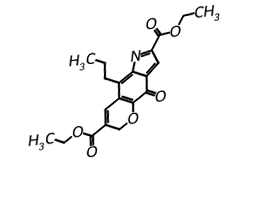 CCCC1=C2N=C(C(=O)OCC)C=C2C(=O)C2=C1C=C(C(=O)OCC)CO2